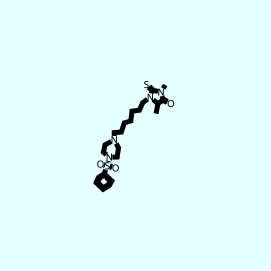 CC1C(=O)N(C)C(=S)N1CCCCCCCN1CCN(S(=O)(=O)c2ccccc2)CC1